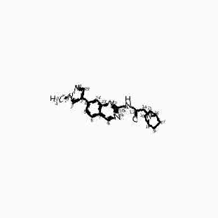 Cn1cc(-c2ccc3cnc(NC(=O)CN4C5CCC4CC5)nc3c2)cn1